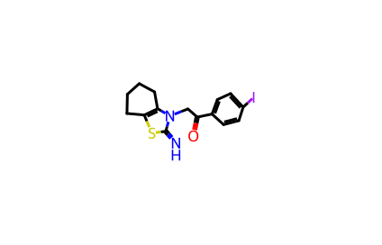 N=c1sc2c(n1CC(=O)c1ccc(I)cc1)CCCC2